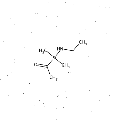 CCN[Si](C)(C)C(C)=O